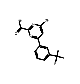 NC(=O)c1nc(O)cc(-c2cccc(C(F)(F)F)c2)n1